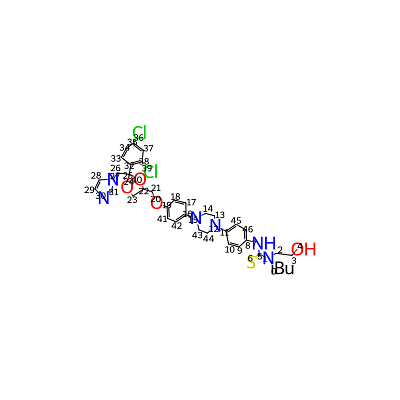 CCC(C)N(CCO)C(=S)Nc1ccc(N2CCN(c3ccc(OCC4COC(Cn5ccnc5)(c5ccc(Cl)cc5Cl)O4)cc3)CC2)cc1